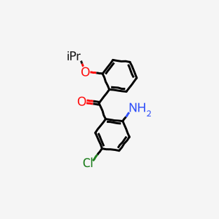 CC(C)Oc1ccccc1C(=O)c1cc(Cl)ccc1N